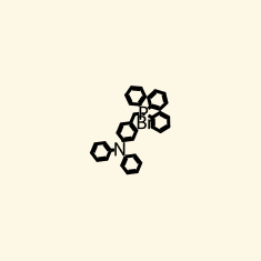 BrP(Cc1ccc(N(c2ccccc2)c2ccccc2)cc1)(c1ccccc1)(c1ccccc1)c1ccccc1